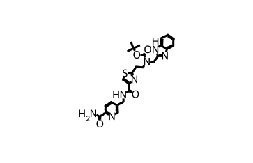 CC(C)(C)OC(=O)N(CCc1nc(C(=O)NCc2ccc(C(N)=O)nc2)cs1)Cc1nc2ccccc2[nH]1